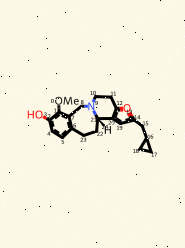 COc1c(O)ccc2c1CN1CCc3oc(CC4CC4)cc3[C@@H]1CC2